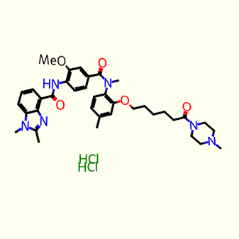 COc1cc(C(=O)N(C)c2ccc(C)cc2OCCCCCC(=O)N2CCN(C)CC2)ccc1NC(=O)c1cccc2c1nc(C)n2C.Cl.Cl